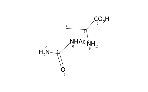 CC(=O)NC(N)=O.CC(N)C(=O)O